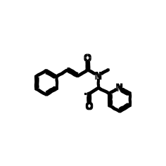 CN(C(=O)C=Cc1ccccc1)C([C]=O)c1ccccn1